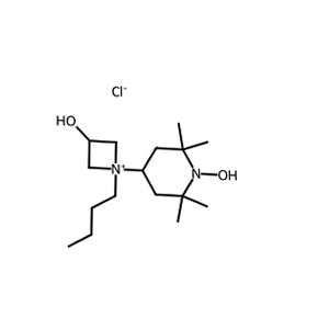 CCCC[N+]1(C2CC(C)(C)N(O)C(C)(C)C2)CC(O)C1.[Cl-]